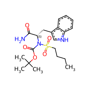 CCCCS(=O)(=O)N(C(=O)OC(C)(C)C)[C@@H](Cc1c[nH]c2ccccc12)C(N)=O